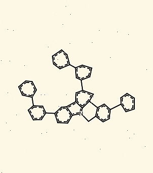 c1ccc(-c2cccc(-c3ccc4c(c3)c3cc(-c5cccc(-c6ccccc6)c5)cc5c3n4Cc3ccc(-c4ccccc4)cc3-5)c2)cc1